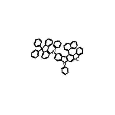 c1ccc(N(c2ccc3c(c2)c2c(-c4cccc5ccccc45)c4c(cc2n3-c2ccccc2)oc2ccccc24)c2cccc3c2-c2ccccc2C3(c2ccccc2)c2ccccc2)cc1